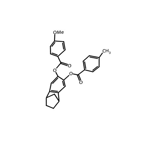 COc1ccc(C(=O)Oc2cc3c(cc2OC(=O)c2ccc(C)cc2)C2CCC3C2)cc1